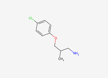 CC(CN)COc1ccc(Cl)cc1